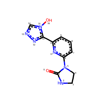 O=C1NCCN1c1cccc(-c2nncn2O)n1